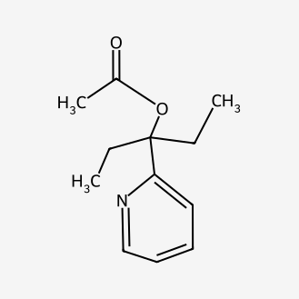 CCC(CC)(OC(C)=O)c1ccccn1